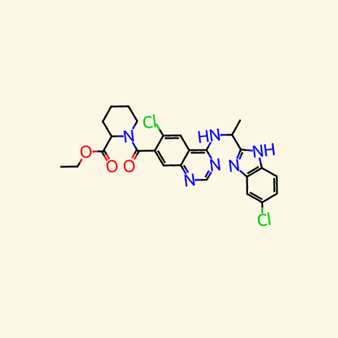 CCOC(=O)C1CCCCN1C(=O)c1cc2ncnc(NC(C)c3nc4cc(Cl)ccc4[nH]3)c2cc1Cl